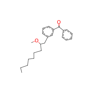 CCCCCCCC(Cc1cccc(C(=O)c2ccccc2)c1)OC